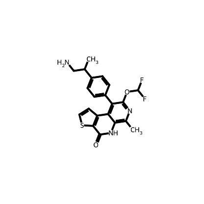 Cc1nc(OC(F)F)c(-c2ccc(C(C)CN)cc2)c2c1[nH]c(=O)c1sccc12